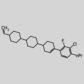 C=CC1CCC(C2CCC(C3CC=C(c4ccc(CCC)c(Cl)c4F)CC3)CC2)CC1